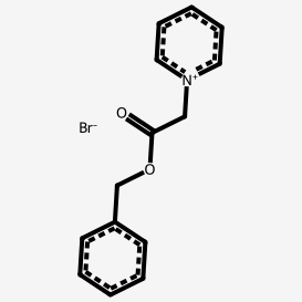 O=C(C[n+]1ccccc1)OCc1ccccc1.[Br-]